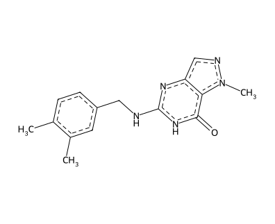 Cc1ccc(CNc2nc3cnn(C)c3c(=O)[nH]2)cc1C